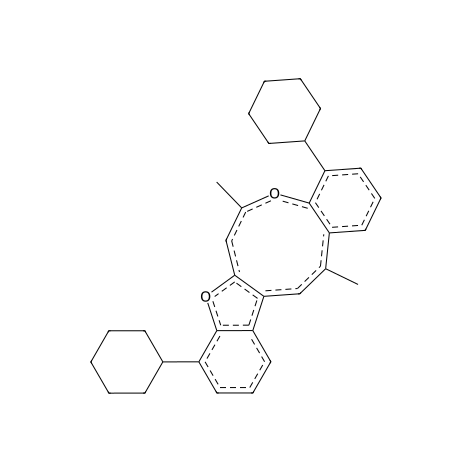 Cc1cc2oc3c(C4CCCCC4)cccc3c2cc(C)c2cccc(C3CCCCC3)c2o1